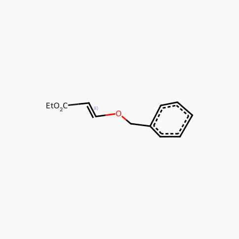 CCOC(=O)/C=C/OCc1ccccc1